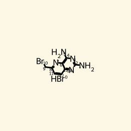 Br.Nc1nc(N)c2nc(CBr)ccc2n1